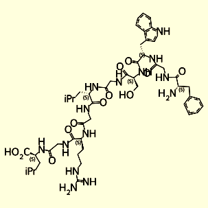 CC(C)C[C@H](NC(=O)CNC(=O)[C@H](CCCNC(=N)N)NC(=O)CNC(=O)[C@H](CC(C)C)NC(=O)CNC(=O)[C@H](CO)NC(=O)[C@H](Cc1c[nH]c2ccccc12)NC(=O)CNC(=O)[C@@H](N)Cc1ccccc1)C(=O)O